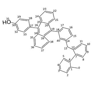 Cc1ccccc1-c1ccccc1Cc1cccc(-c2c3ccccc3c(-c3ccc(O)cc3)c3ccccc23)c1